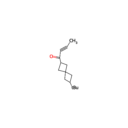 CC#CC(=O)C1CC2(C1)CC(C(C)(C)C)C2